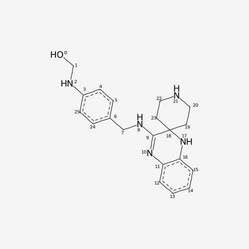 OCNc1ccc(CNC2=Nc3ccccc3NC23CCNCC3)cc1